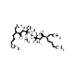 CCCCC(CC)C(=O)CC(C)(C)OOC(C)(C)CC(=O)C(CC)CCCC